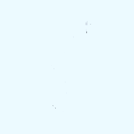 CC[C@H](C)COCCCOc1ccc(N)cc1